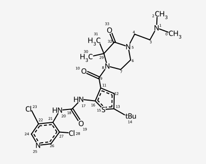 CN(C)CCN1CCN(C(=O)c2cc(C(C)(C)C)sc2NC(=O)Nc2c(Cl)cncc2Cl)C(C)(C)C1=O